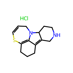 C1=CSC2=C3C(=C4CNCCC4N3C1)CCC2.Cl